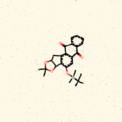 CC1(C)OC2Cc3c4c(cc(O[Si](C)(C)C(C)(C)C)c3C2O1)C(=O)c1ccccc1C4=O